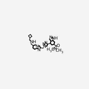 CN(C)C(=O)c1cc(-c2cn(Cc3cn4cc(CNCC5CCC5)ccc4n3)nn2)c2cn[nH]c2c1